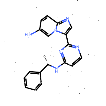 C[C@H](Nc1ccnc(-c2cnc3ccc(N)cn23)n1)c1ccccc1